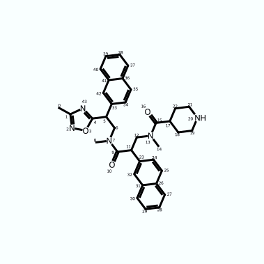 Cc1noc(C(CN(C)C(=O)C(CN(C)C(=O)C2CCNCC2)c2ccc3ccccc3c2)c2ccc3ccccc3c2)n1